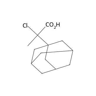 CC(Cl)(C(=O)O)C12CC3CC(CC(C3)C1)C2